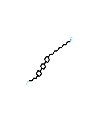 FCCCCCCCCCCC1CCC(C2CCC(C3CCC(CCCCF)CC3)CC2)CC1